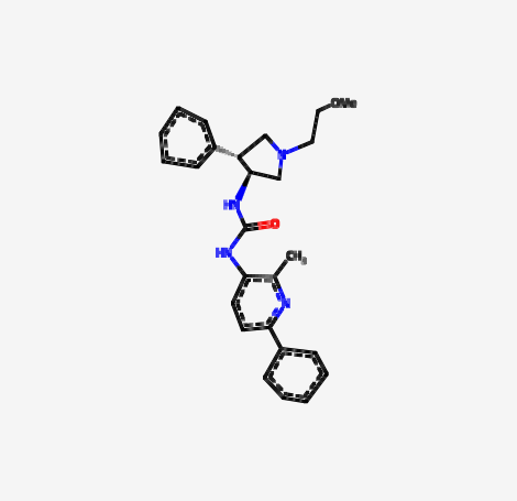 COCCN1C[C@@H](NC(=O)Nc2ccc(-c3ccccc3)nc2C)[C@H](c2ccccc2)C1